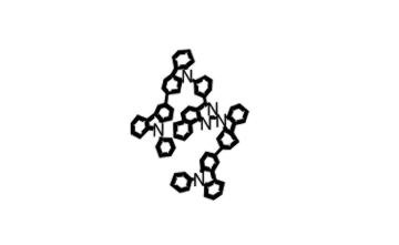 c1ccc(-n2c3ccccc3c3cc(-c4ccc5c6ccccc6n(-c6cccc(-c7nc(-n8c9ccccc9c9ccc(-c%10ccc%11c(c%10)c%10ccccc%10n%11-c%10ccccc%10)cc98)nc8c7ccc7ccccc78)c6)c5c4)ccc32)cc1